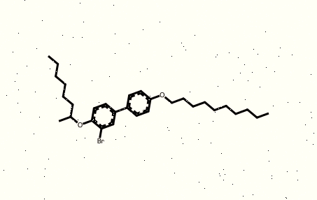 CCCCCCCCCCOc1ccc(-c2ccc(OC(C)CCCCCC)c(Br)c2)cc1